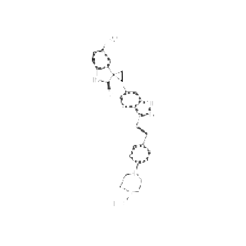 COc1ccc2c(c1)C1(C[C@H]1c1ccc3c(/C=C/c4ccc(N5CCN(C)CC5)cc4)n[nH]c3c1)C(=O)N2